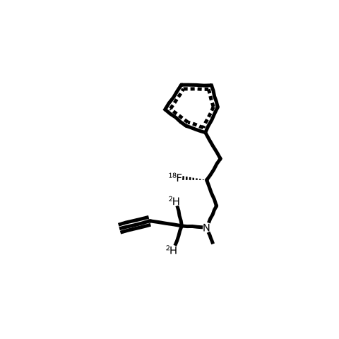 [2H]C([2H])(C#C)N(C)C[C@H]([18F])Cc1ccccc1